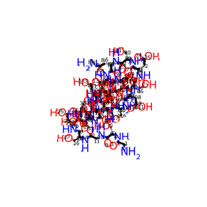 NCC(=O)N[C@@H](CO)C(=O)NCC(=O)N[C@@H](CO)C(=O)N[C@@H](CC(=O)O)C(=O)N[C@@H](CO)C(=O)N[C@@H](CC(N)=O)C(=O)N[C@@H](CC(=O)O)C(=O)NCC(=O)N[C@@H](CO)C(=O)NCC(=O)N[C@@H](CO)C(=O)N[C@@H](CC(=O)O)C(=O)N[C@@H](CO)C(=O)N[C@@H](CC(N)=O)C(=O)N[C@@H](CC(=O)O)C(=O)N[C@@H](CO)C(=O)N[C@@H](CC(=O)O)C(=O)N[C@@H](CO)C(=O)N[C@@H](CC(N)=O)C(=O)N[C@@H](CC(=O)O)C(=O)O